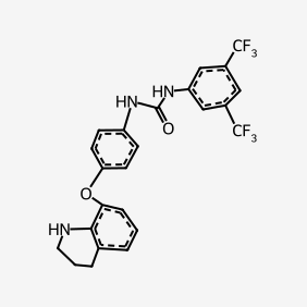 O=C(Nc1ccc(Oc2cccc3c2NCCC3)cc1)Nc1cc(C(F)(F)F)cc(C(F)(F)F)c1